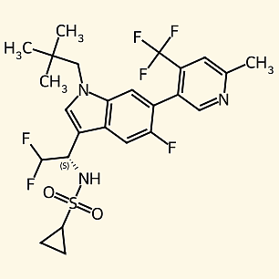 Cc1cc(C(F)(F)F)c(-c2cc3c(cc2F)c([C@H](NS(=O)(=O)C2CC2)C(F)F)cn3CC(C)(C)C)cn1